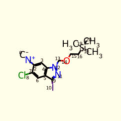 [C-]#[N+]c1cc2c(cc1Cl)c(I)nn2COCC[Si](C)(C)C